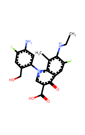 CCNc1c(F)cc2c(=O)c(C(=O)O)cn(-c3cc(N)c(F)cc3CO)c2c1C